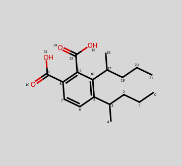 CCCC(C)c1ccc(C(=O)O)c(C(=O)O)c1C(C)CCC